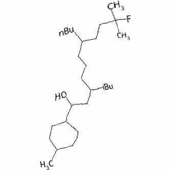 CCCCC(CCCC(CC(O)C1CCC(C)CC1)C(C)CC)CCC(C)(C)F